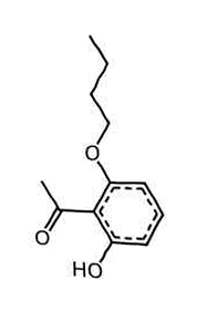 CCCCOc1cccc(O)c1C(C)=O